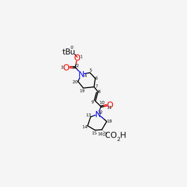 CC(C)(C)OC(=O)N1CCC(/C=C/C(=O)N2CCC[C@@H](C(=O)O)C2)CC1